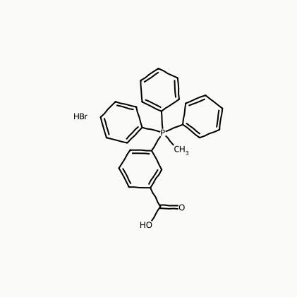 Br.CP(c1ccccc1)(c1ccccc1)(c1ccccc1)c1cccc(C(=O)O)c1